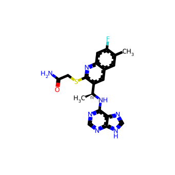 Cc1cc2cc([C@H](C)Nc3ncnc4[nH]cnc34)c(SCC(N)=O)nc2cc1F